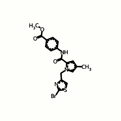 COC(=O)c1ccc(NC(=O)c2cc(C)cn2Cc2csc(Br)n2)cc1